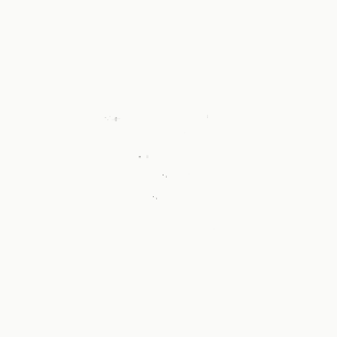 COCOC(C)CC(c1cccs1)N(N)C=O